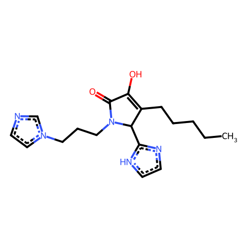 CCCCCC1=C(O)C(=O)N(CCCn2ccnc2)C1c1ncc[nH]1